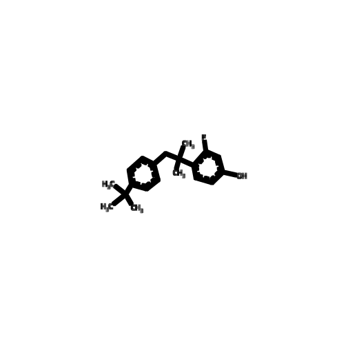 CC(C)(C)c1ccc(CC(C)(C)c2ccc(O)cc2F)cc1